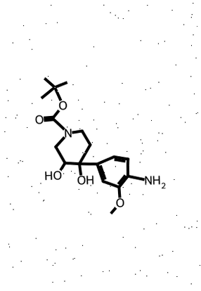 COc1cc(C2(O)CCN(C(=O)OC(C)(C)C)CC2O)ccc1N